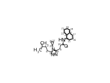 CC(C)CCc1nnc(CCC(=O)Nc2cccc3ccccc23)n1C1CC1